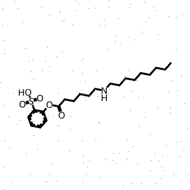 CCCCCCCCCNCCCCCC(=O)Oc1ccccc1S(=O)(=O)O